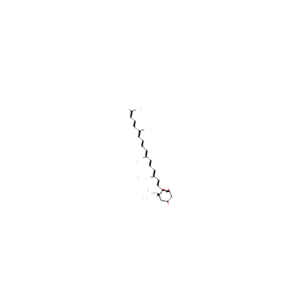 CC(=O)/C(C)=C/C=C/C(C)=C/C=C/C=C(C)/C=C/C=C(C)/C=C/C12OC1(C)CC(O)CC2(C)C